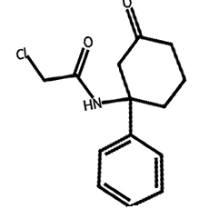 O=C1CCCC(NC(=O)CCl)(c2ccccc2)C1